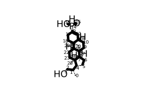 C[C@H](CO)[C@H]1CC[C@H]2[C@@H]3CC[C@H]4C=C([PH](=O)O)CC[C@]4(C)[C@H]3CC[C@]12C